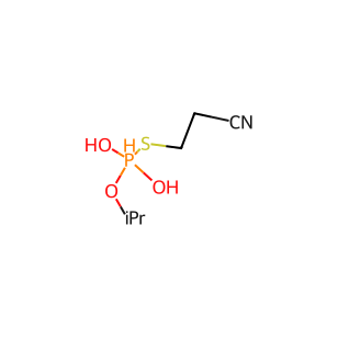 CC(C)O[PH](O)(O)SCCC#N